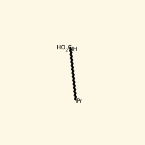 CC(C)CCCCCCCCCCCCCCCCCCCCCCCCCCCNC(=O)O